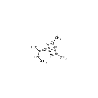 CNC(=O)O.Cc1cc2cc(C)c1-2